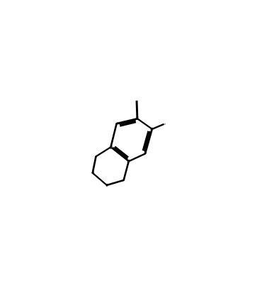 Fc1cc2c(cc1F)CC[C]C2